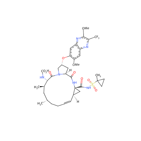 COc1cc2nc(C(F)(F)F)c(OC)nc2cc1O[C@@H]1C[C@H]2C(=O)N[C@]3(C(=O)NS(=O)(=O)C4(C)CC4)C[C@H]3/C=C\CC[C@H](C)C[C@@H](C)[C@H](NC(=O)O)C(=O)N2C1